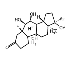 CC(=O)[C@@]1(O)CC[C@H]2[C@@H]3[C@H](O)[C@H](O)[C@H]4CC(=O)CC[C@]4(C)[C@H]3CC[C@@]21C